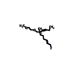 CCC#C[C@](C)(CCC/C=C/CF)COCCOC